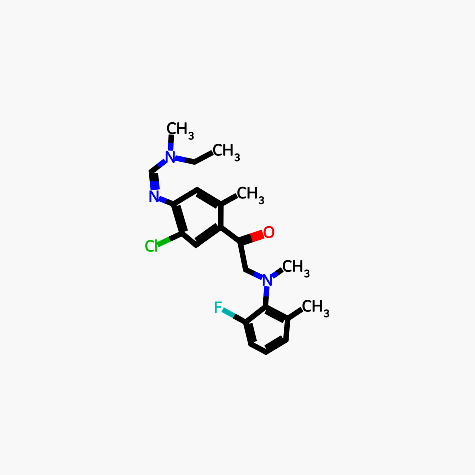 CCN(C)/C=N\c1cc(C)c(C(=O)CN(C)c2c(C)cccc2F)cc1Cl